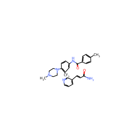 Cc1ccc(C(=O)Nc2ccc(N3CCN(C)CC3)c(C(F)(F)F)c2)cc1.NC(=O)C=Cc1cccnc1